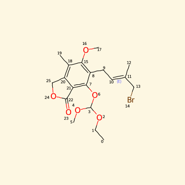 CCOC(OC)Oc1c(C/C=C(\C)CBr)c(OC)c(C)c2c1C(=O)OC2